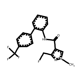 Cn1cc(C(=O)Nc2ccccc2-c2ccc(C(F)(F)F)cc2)c(CF)n1